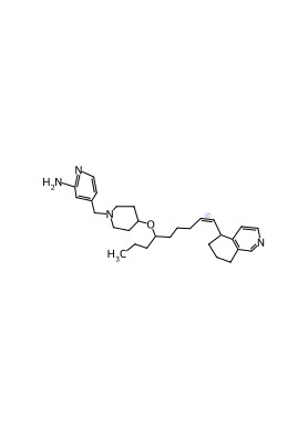 CCCC(CCC/C=C\C1CCCc2cnccc21)OC1CCN(Cc2ccnc(N)c2)CC1